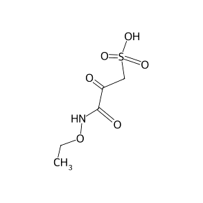 CCONC(=O)C(=O)CS(=O)(=O)O